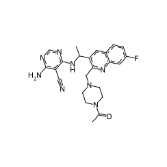 CC(=O)N1CCN(Cc2nc3cc(F)ccc3cc2C(C)Nc2ncnc(N)c2C#N)CC1